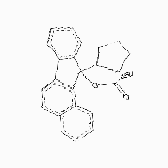 CC(C)(C)C(=O)OC1(C2CCCC2)c2ccccc2-c2ccc3ccccc3c21